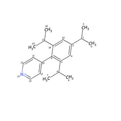 CC(C)c1cc(C(C)C)c(-c2ccncc2)c(C(C)C)c1